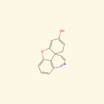 OC1=CCC23C=CN=Cc4cccc(c42)OC3=C1